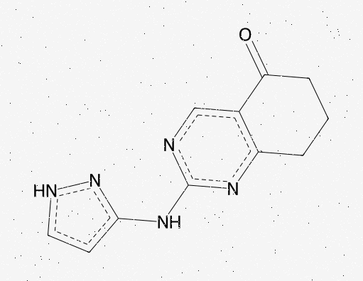 O=C1CCCc2nc(Nc3cc[nH]n3)ncc21